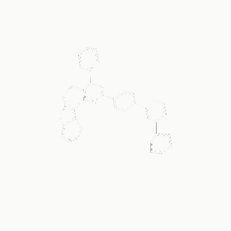 c1ccc(-c2cccc(-c3ccc(-c4nc(-c5ccccc5)c5ccc6sc7ccccc7c6c5n4)cc3)c2)cc1